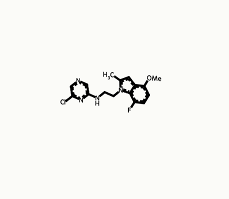 COc1ccc(F)c2c1cc(C)n2CCNc1cncc(Cl)n1